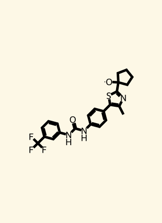 Cc1nc(C2([O])CCCC2)sc1-c1ccc(NC(=O)Nc2cccc(C(F)(F)F)c2)cc1